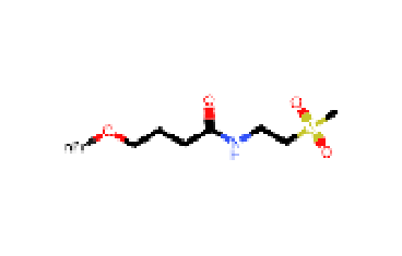 CCCOCCCC(=O)NCCS(C)(=O)=O